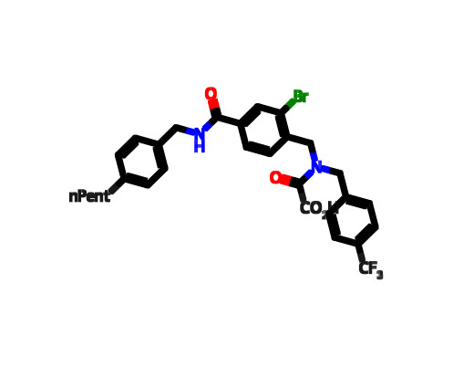 CCCCCc1ccc(CNC(=O)c2ccc(CN(Cc3ccc(C(F)(F)F)cc3)C(=O)C(=O)O)c(Br)c2)cc1